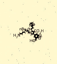 CCCCN(CCCCN)C(=O)CN1C[C@H](c2cc(CO)c3c(c2)OCO3)[C@@H](C(=O)O)[C@@H]1CCc1ncco1